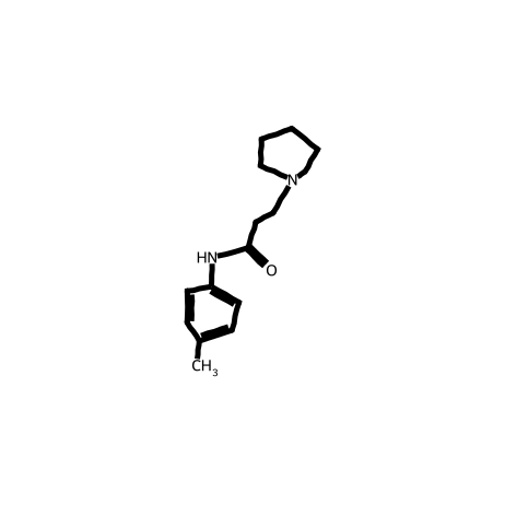 Cc1ccc(NC(=O)CCN2CCCCC2)cc1